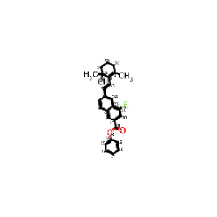 CC1=C(C=Cc2ccc3cc(C(=O)Oc4ccccc4)cc(F)c3c2)C(C)(C)CCC1